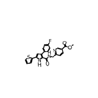 COC(=O)c1ccc(CNC(=O)c2[nH]c(-c3cccs3)cc2-c2ccc(F)cc2)nc1